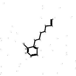 C=CCCCCCc1ccccc1C